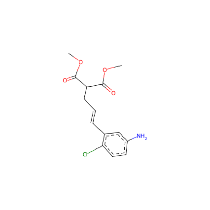 COC(=O)C(CC=Cc1cc(N)ccc1Cl)C(=O)OC